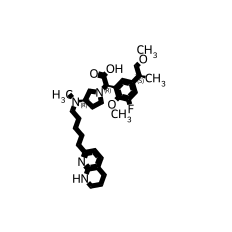 COC[C@@H](C)c1cc(F)c(OC)c([C@H](C(=O)O)N2CC[C@@H](N(C)CCCCCc3ccc4c(n3)NCCC4)C2)c1